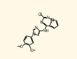 COc1ccc(-n2cnc(Nc3nc(Cl)nn4cccc34)c2)cc1OC